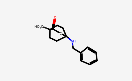 O=C(O)C12CCC(NCc3ccccc3)(CC1)CC2=O